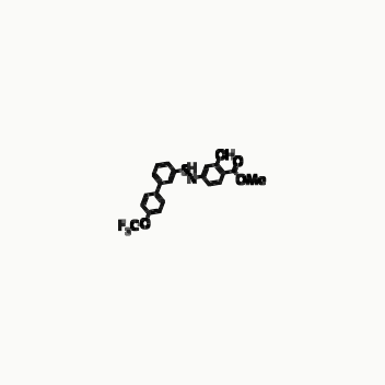 COC(=O)c1ccc(NSc2cccc(-c3ccc(OC(F)(F)F)cc3)c2)cc1O